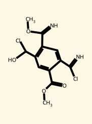 COC(=N)c1cc(C(=N)Cl)c(C(=O)OC)cc1C(O)Cl